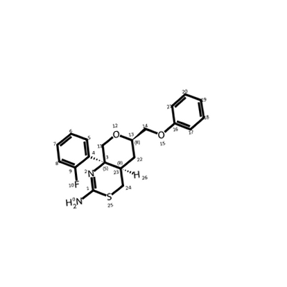 NC1=N[C@@]2(c3ccccc3F)CO[C@@H](COc3ccccc3)C[C@H]2CS1